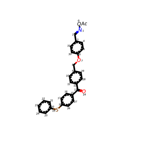 CC(=O)ON=Cc1ccc(OCc2ccc(C(=O)c3ccc(Sc4ccccc4)cc3)cc2)cc1